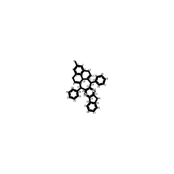 Cc1cc2c3c(c1)CC=C1C3C(=CC2)C(c2ccccc2)c2nc3c(nc2C1c1ccccc1)-c1ccccc1C3